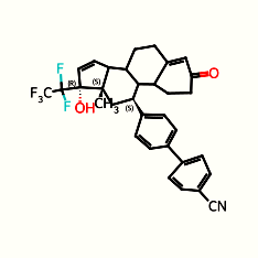 C[C@]12C[C@H](c3ccc(-c4ccc(C#N)cc4)cc3)C3C4CCC(=O)C=C4CCC3C1C=C[C@]2(O)C(F)(F)C(F)(F)F